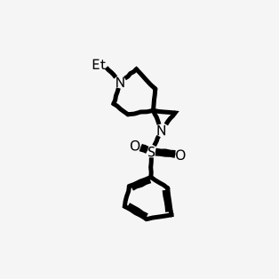 CCN1CCC2(CC1)CN2S(=O)(=O)c1ccccc1